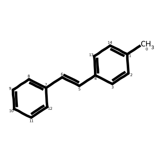 Cc1ccc(/C=C/c2c[c]ccc2)cc1